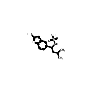 CC(C)CC(NS(=O)(=O)O)c1ccc2oc(O)cc2c1